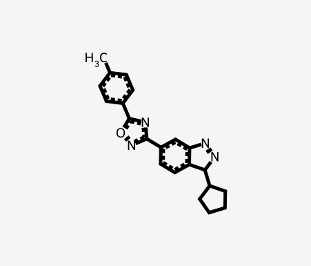 Cc1ccc(-c2nc(-c3ccc4c(c3)N=NC4C3CCCC3)no2)cc1